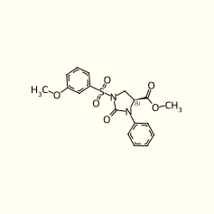 COC(=O)[C@@H]1CN(S(=O)(=O)c2cccc(OC)c2)C(=O)N1c1ccccc1